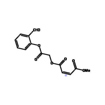 COC(=O)/C=C\C(=O)OCC(=O)Oc1ccccc1C=O